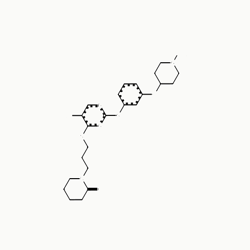 CN1CCC(Oc2cccc(Nc3ncc(C(F)(F)F)c(NCCCN4CCCCC4=O)n3)c2)CC1